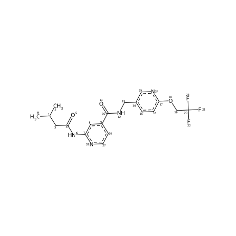 CC(C)CC(=O)Nc1cc(C(=O)NCc2ccc(OCC(F)(F)F)nc2)ccn1